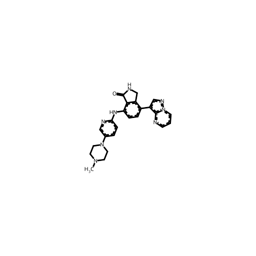 CN1CCN(c2ccc(Nc3ccc(-c4cnn5cccnc45)c4c3C(=O)NC4)nc2)CC1